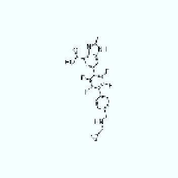 Cc1nc2c(C(=O)O)cc(-c3c(F)c(F)c(-c4ccc(CNCC5CC5)cc4)c(F)c3F)cc2[nH]1